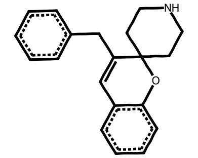 C1=C(Cc2ccccc2)C2(CCNCC2)Oc2ccccc21